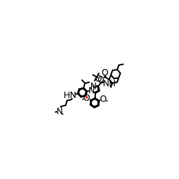 CCC1CC2CC(C)C(NC(=O)c3cc(-c4c(OC)cccc4OC)n(-c4ccc(NCCCCN(C)C)cc4C(C)C)n3)(C(=O)OC(C)(C)C)C(C1)C2